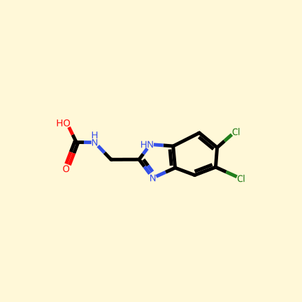 O=C(O)NCc1nc2cc(Cl)c(Cl)cc2[nH]1